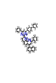 c1ccc(-c2ccc(-c3cc(-c4ccccc4)nc(-c4ccc5ccc6c(-c7cccc8ccccc78)cc(-c7ccccc7)nc6c5n4)n3)cc2)cc1